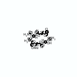 COc1ccc2c(n1)[C@H](c1cc(C(=O)c3cncnc3N[C@@H]3C[C@H](COS(N)(=O)=O)[C@@H](O)C3)sc1C)OCC2.Cc1sc(C(=O)c2cncnc2N[C@@H]2C[C@H](COS(N)(=O)=O)[C@@H](OC(=O)[C@@H](N)C(C)C)C2)cc1[C@@H]1OCCc2ccc(Cl)cc21